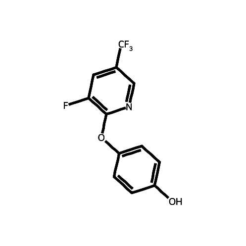 Oc1ccc(Oc2ncc(C(F)(F)F)cc2F)cc1